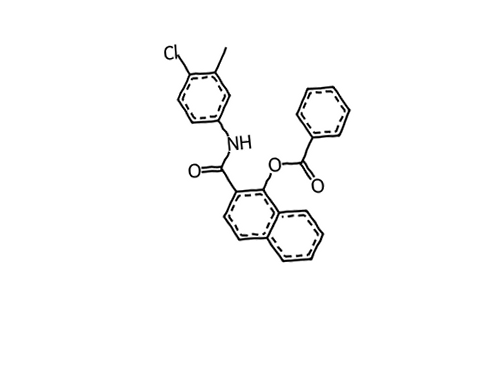 Cc1cc(NC(=O)c2ccc3ccccc3c2OC(=O)c2ccccc2)ccc1Cl